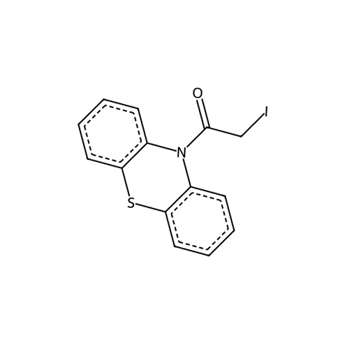 O=C(CI)N1c2ccccc2Sc2ccccc21